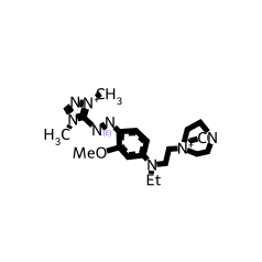 CCN(CC[N+]12CCN(CC1)CC2)c1ccc(/N=N/c2n(C)cn[n+]2C)c(OC)c1